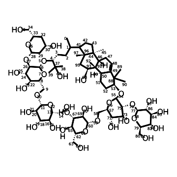 CC(CC[C@@H](O[C@@H]1O[C@H](CO[C@@H]2O[C@H](CO)[C@@H](O)[C@H](O)[C@H]2O)[C@@H](O)[C@H](O)[C@H]1O[C@H]1C[C@@H](O)C[C@@H](CO)O1)C(C)(C)O)C1CC[C@@]2(C)[C@@H]3CC=C4[C@@H](CC[C@H](O[C@@H]5O[C@H](CO[C@@H]6O[C@H](CO)[C@@H](O)[C@H](O)[C@H]6O)[C@@H](O)[C@H](O)[C@H]5O[C@@H]5O[C@H](CO)[C@@H](O)[C@H](O)[C@H]5O)C4(C)C)[C@]3(C)[C@@H](O)C[C@]12C